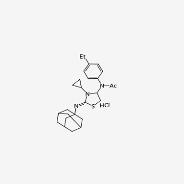 CCc1ccc(N(C(C)=O)C2CSC(=NC34CC5CC(CC(C5)C3)C4)N2C2CC2)cc1.Cl